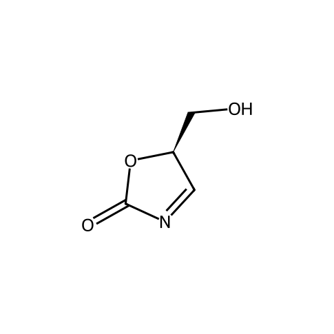 O=C1N=C[C@H](CO)O1